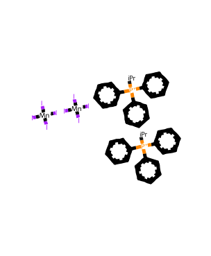 CC(C)[P+](c1ccccc1)(c1ccccc1)c1ccccc1.CC(C)[P+](c1ccccc1)(c1ccccc1)c1ccccc1.[I][Mn-]([I])([I])[I].[I][Mn-]([I])([I])[I]